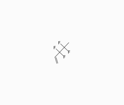 C=CC(F)(F)C(C)(F)F